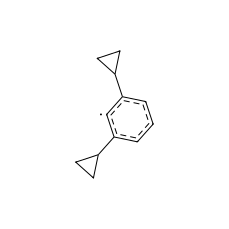 [c]1c(C2CC2)cccc1C1CC1